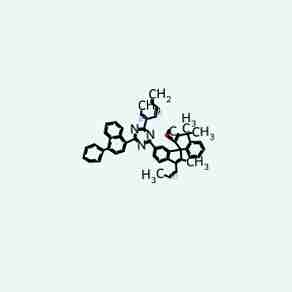 C=C/C=C\C(=C/C)c1nc(-c2ccc3c(c2)C2(C(C)=C3/C=C\C)c3ccccc3C(C)(C)c3ccccc32)nc(-c2ccc(-c3ccccc3)c3ccccc23)n1